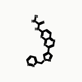 CCNC(=S)Nc1ccc2ncc(-c3cnn(Cc4cccnn4)c3)nc2n1